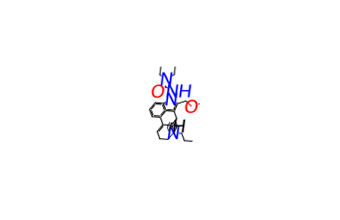 CCCN1CCC=C2c3cccc4c3c(c(COC)n4NC(=O)N(CC)CC)C[C@H]21